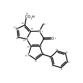 Cn1c(=O)c2c(-c3ccccc3)csc2n2cnc(C(=O)O)c12